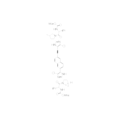 COC(=O)N[C@H](C(=O)N1C[C@H](C)C[C@H]1c1nc(Cl)c(C#Cc2ccc3cc(-c4[nH]c([C@@H]5C[C@H]6CC6N5C(=O)[C@@H](NC(=O)OC)C(C)C)nc4Cl)ccc3c2)[nH]1)C(C)C